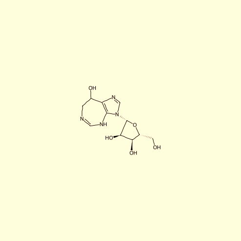 OC[C@H]1O[C@@H](n2cnc3c2NC=NCC3O)[C@H](O)[C@@H]1O